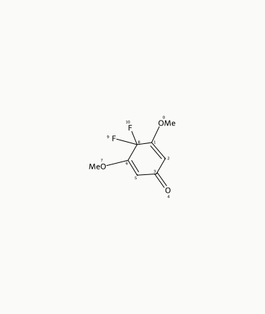 COC1=CC(=O)C=C(OC)C1(F)F